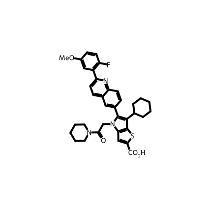 COc1ccc(F)c(-c2ccc3cc(-c4c(C5CCCCC5)c5sc(C(=O)O)cc5n4CC(=O)N4CCCCC4)ccc3n2)c1